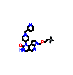 C[Si](C)(C)CCOCn1ccc2c3c(cnc21)CNC(=O)N3C1CCN(Cc2cccnc2)CC1